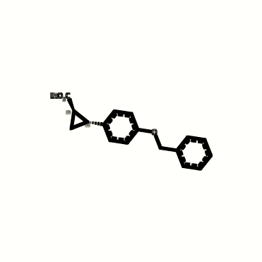 CCOC(=O)[C@@H]1C[C@H]1c1ccc(OCc2ccccc2)cc1